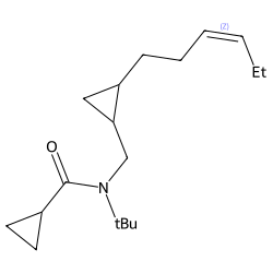 CC/C=C\CCC1CC1CN(C(=O)C1CC1)C(C)(C)C